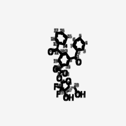 O=C(c1ccccc1)c1cc(C(=O)c2ccccc2)cc(S(=O)(=O)O[C@@H]2O[C@H](CO)[C@@H](O)C2(F)F)c1